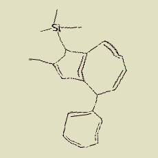 CC1=CC2=C(C=CC=CC2c2ccccc2)C1[Si](C)(C)C